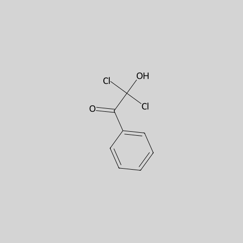 O=C(c1ccccc1)C(O)(Cl)Cl